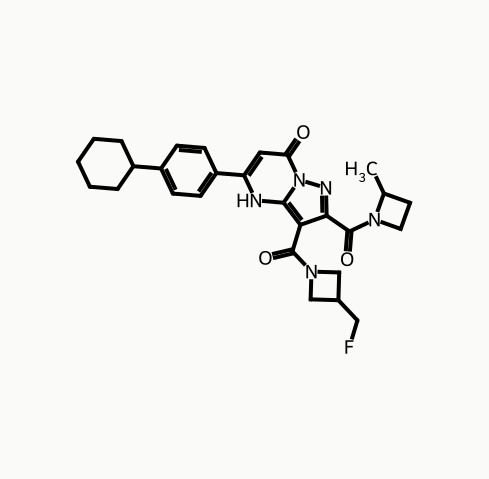 CC1CCN1C(=O)c1nn2c(=O)cc(-c3ccc(C4CCCCC4)cc3)[nH]c2c1C(=O)N1CC(CF)C1